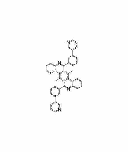 Cc1c2c(-c3cccc(-c4cccnc4)c3)nc3ccccc3c2c(C)c2c(-c3cccc(-c4cccnc4)c3)nc3ccccc3c12